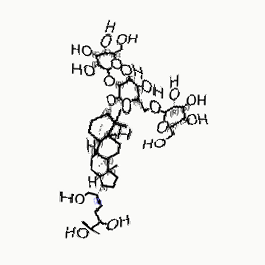 CC(C)(O)C(O)C/C=C(\CO)[C@H]1CC[C@]2(C)[C@@H]1CC[C@@H]1[C@@]3(C)CC[C@H](O[C@@H]4O[C@H](COC5O[C@H](CO)[C@@H](O)[C@H](O)[C@H]5O)[C@@H](O)[C@H](O)[C@H]4OC4O[C@H](CO)[C@@H](O)[C@H](O)[C@H]4O)C(C)(C)[C@@H]3CC[C@]12C